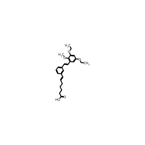 CCOc1cc(C=Cc2cccc(C=CCCCCC(=O)O)c2)c(OC)c(OCC)c1